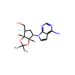 CC1(C)O[C@H]2[C@H](n3ccc4c(N)ncnc43)C[C@](F)(CO)[C@H]2O1